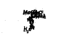 COc1cc(-n2cnc3cc(-n4cnc(C)c4)ccc32)cc(OC)c1C(=O)NCC(F)(F)F